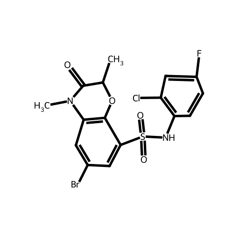 CC1Oc2c(cc(Br)cc2S(=O)(=O)Nc2ccc(F)cc2Cl)N(C)C1=O